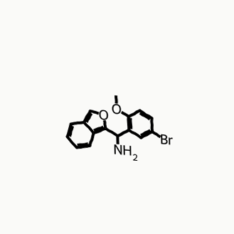 COc1ccc(Br)cc1C(N)c1occ2ccccc12